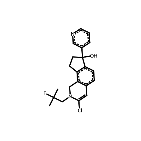 CC(C)(F)CN1Cc2c(ccc3c2CCC3(O)c2cccnc2)C=C1Cl